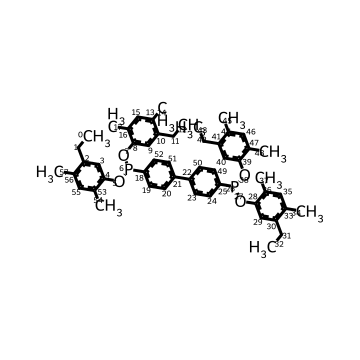 CCc1cc(OP(Oc2cc(CC)c(C)cc2C)c2ccc(-c3ccc(P(Oc4cc(CC)c(C)cc4C)Oc4cc(CC)c(C)cc4C)cc3)cc2)c(C)cc1C